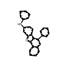 c1ccc(Nc2ccc3c(c2)oc2c4ccccc4cc(-c4ccccc4)c32)cc1